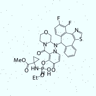 CCO[PH](O)(NC1(C(=O)OC)CC1)Oc1c2n(ccc1=O)N(C1c3ccccc3-c3scnc3-c3c1ccc(F)c3F)C1COCCN1C2=O